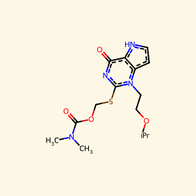 CC(C)OCCn1c(SCOC(=O)N(C)C)nc(=O)c2[nH]ccc21